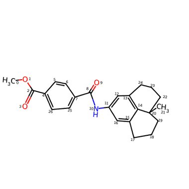 COC(=O)c1ccc(C(=O)Nc2cc3c4c(c2)CCCC4(C)CCC3)cc1